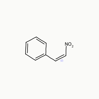 O=[N+]([O-])/C=C\c1ccccc1